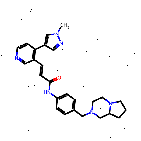 Cn1cc(-c2ccncc2/C=C/C(=O)Nc2ccc(CN3CCN4CCCC4C3)cc2)cn1